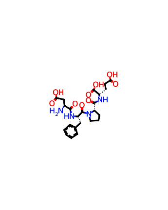 N[C@@H](CC(=O)O)C(=O)N[C@@H](Cc1ccccc1)C(=O)N1CCC[C@H]1C(=O)N[C@@H](CCC(=O)O)C(=O)O